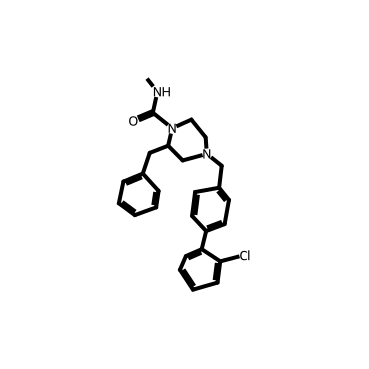 CNC(=O)N1CCN(Cc2ccc(-c3ccccc3Cl)cc2)CC1Cc1ccccc1